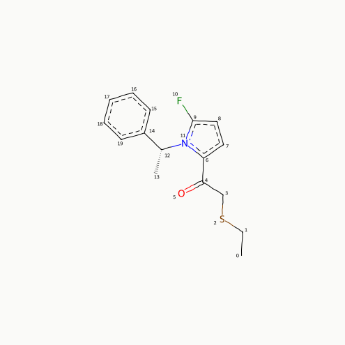 CCSCC(=O)c1ccc(F)n1[C@H](C)c1ccccc1